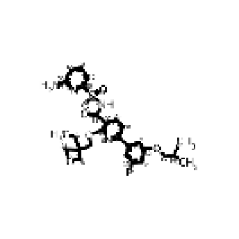 CCC1(COc2nc(-c3cc(F)cc(OCC(C)C)c3)ccc2C(=O)NS(=O)(=O)c2cccc(N)n2)COC1